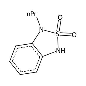 CCCN1c2ccccc2NS1(=O)=O